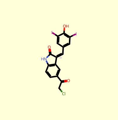 O=C1Nc2ccc(C(=O)CCl)cc2/C1=C/c1cc(I)c(O)c(I)c1